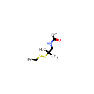 CCCC(=O)NCC(C)(C)SSCC(C)C